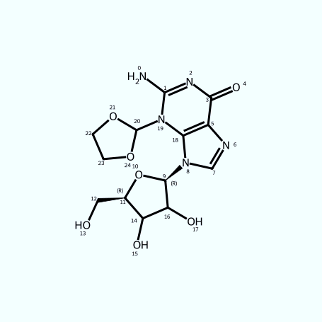 Nc1nc(=O)c2ncn([C@@H]3O[C@H](CO)C(O)C3O)c2n1C1OCCO1